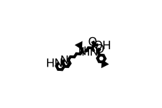 O=C(NC(CCN(CCCCc1ccc2c(n1)NCCC2)C1CC1)C(=O)O)C1CCC2(CC1)CC2